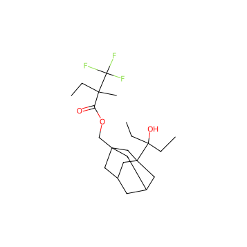 CCC(O)(CC)C12CC3CC(CC(COC(=O)C(C)(CC)C(F)(F)F)(C3)C1)C2